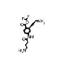 NCC#Cc1cc(NC(=O)CCCN)ccc1C(=O)OC(F)F